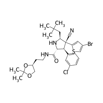 CC(C)(C)C[C@@H]1N[C@@H](C(=O)NCC[C@H]2COC(C)(C)O2)[C@H](c2cccc(Cl)c2)[C@@]1(C#N)c1cc(Br)cs1